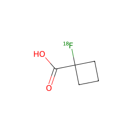 O=C(O)C1([18F])CCC1